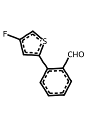 O=Cc1ccccc1-c1cc(F)cs1